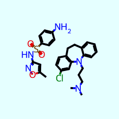 CN(C)CCCN1c2ccccc2CCc2ccc(Cl)cc21.Cc1cc(NS(=O)(=O)c2ccc(N)cc2)no1